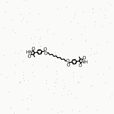 CC1=C(c2ccc(C(=O)OCCCCCCCCCCOC(=O)c3ccc(C4=C(C)C(=O)NC4=O)cc3)cc2)C(=O)NC1=O